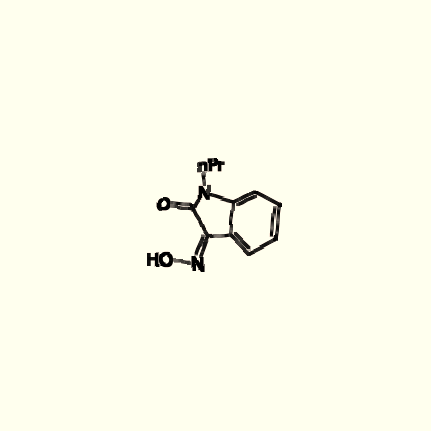 CCCN1C(=O)/C(=N\O)c2ccccc21